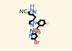 C[C@@H](Oc1cc(Br)cnc1[N+](=O)[O-])c1cc(F)ccc1-n1nccc1Cc1cc(C#N)[nH]n1